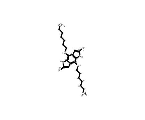 CCCCCCCOc1c2cc(Br)sc2c(OCCCCCCC)c2cc(Br)sc12